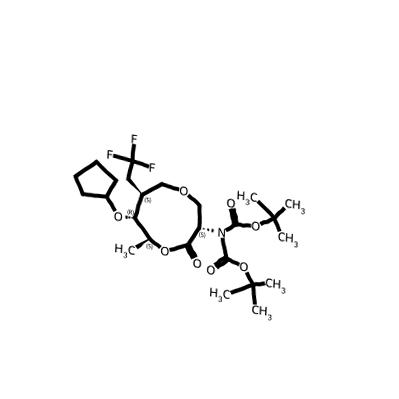 C[C@@H]1OC(=O)[C@@H](N(C(=O)OC(C)(C)C)C(=O)OC(C)(C)C)COC[C@H](CC(F)(F)F)[C@H]1OC1CCCC1